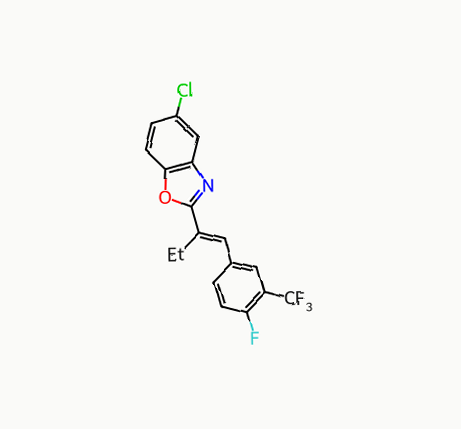 CCC(=Cc1ccc(F)c(C(F)(F)F)c1)c1nc2cc(Cl)ccc2o1